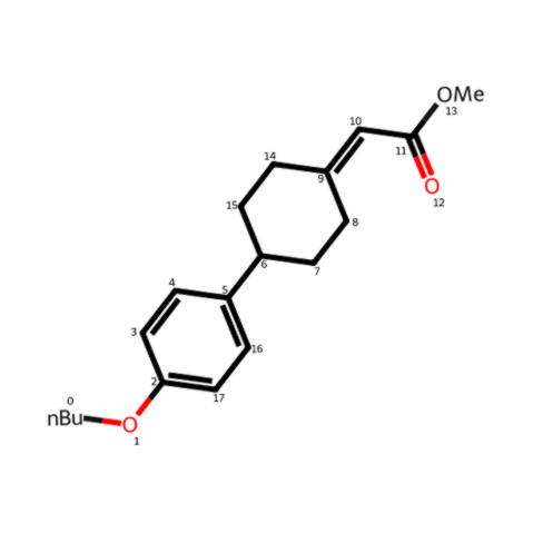 CCCCOc1ccc(C2CCC(=CC(=O)OC)CC2)cc1